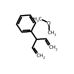 C=CC(C=C)c1ccccc1.COC